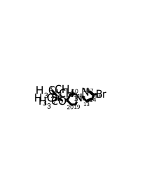 CC(C)(C)[Si](C)(C)OC1CCN(c2ccc(Br)cn2)CC1